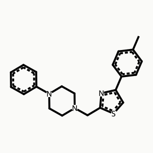 Cc1ccc(-c2csc(CN3CCN(c4ccccc4)CC3)n2)cc1